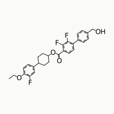 CCOc1ccc(C2CCC(OC(=O)c3ccc(-c4ccc(CO)cc4)c(F)c3F)CC2)cc1F